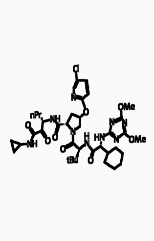 CCC[C@H](NC(=O)[C@@H]1C[C@@H](Oc2ccc(Cl)cn2)CN1C(=O)[C@@H](NC(=O)[C@H](Nc1nc(OC)nc(OC)n1)C1CCCCC1)C(C)(C)C)C(=O)C(=O)NC1CC1